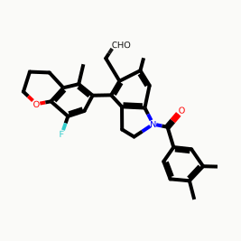 Cc1ccc(C(=O)N2CCc3c2cc(C)c(CC=O)c3-c2cc(F)c3c(c2C)CCCO3)cc1C